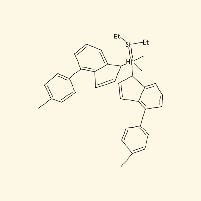 CC[Si](CC)=[Hf]([CH3])([CH3])([CH]1C=Cc2c(-c3ccc(C)cc3)cccc21)[CH]1C=Cc2c(-c3ccc(C)cc3)cccc21